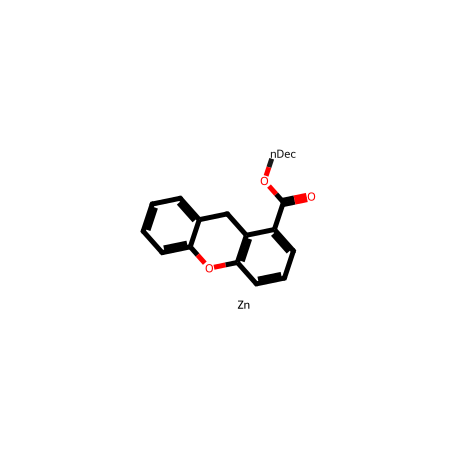 CCCCCCCCCCOC(=O)c1cccc2c1Cc1ccccc1O2.[Zn]